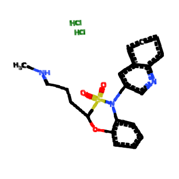 CNCCCC1Oc2ccccc2N(c2cnc3ccccc3c2)S1(=O)=O.Cl.Cl